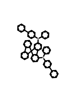 c1ccc(-c2ccc(N(c3ccccc3)c3ccc4c(c3)C3(c5ccccc5-c5ccccc53)c3cccc(N(c5ccccc5)c5ccc(-c6ccccc6)cc5)c3-4)cc2)cc1